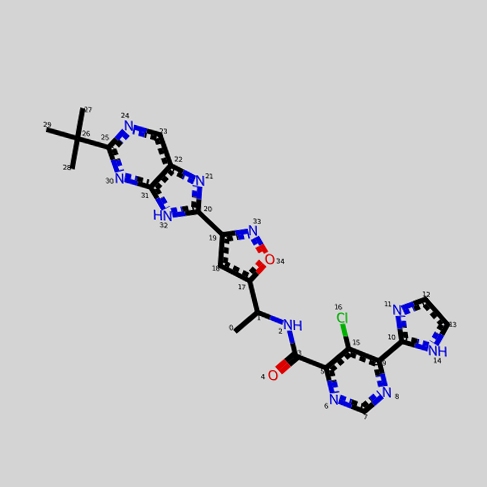 CC(NC(=O)c1ncnc(-c2ncc[nH]2)c1Cl)c1cc(-c2nc3cnc(C(C)(C)C)nc3[nH]2)no1